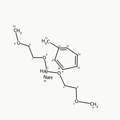 COCC[O][AlH][O]CCOC.Cc1ccccc1.[NaH]